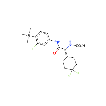 C[Si](C)(C)c1ccc(NC(=O)C(NC(=O)O)=C2CCC(F)(F)CC2)cc1F